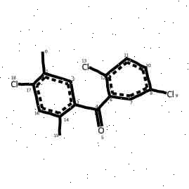 Cc1cc(C(=O)c2cc(Cl)ccc2Cl)c(C)cc1Cl